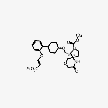 CCOC(=O)C=COc1ccccc1C1CCC(OC[C@@H]2N(C(=O)OC(C)(C)C)CC[C@@]23COCC(=O)N3)CC1